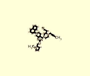 CC#CCN1CCN(c2nc(OCC3CCCN3C)nc3c2CCN(c2cccc4ccccc24)C3)CC1CC#N